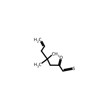 C=CCC(C)(C)CC(=O)C=S